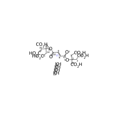 O=C(O)CC(CC(=O)O)(OC(=O)/C=C/C(=O)OC(CC(=O)O)(CC(=O)O)C(=O)O)C(=O)O.[KH].[KH].[KH].[KH]